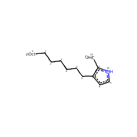 CCCCCCCCCCCCCCc1cc[nH]c1C=O